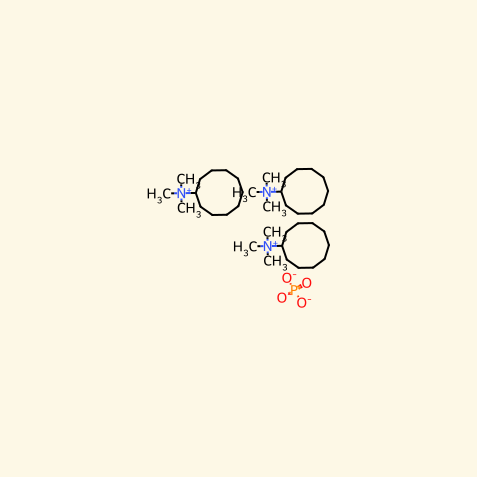 C[N+](C)(C)C1CCCCCCCCC1.C[N+](C)(C)C1CCCCCCCCC1.C[N+](C)(C)C1CCCCCCCCC1.O=P([O-])([O-])[O-]